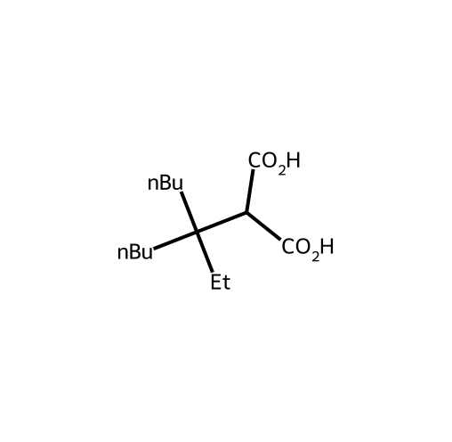 CCCCC(CC)(CCCC)C(C(=O)O)C(=O)O